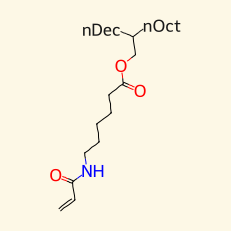 C=CC(=O)NCCCCCC(=O)OCC(CCCCCCCC)CCCCCCCCCC